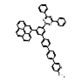 Cc1ccc(-c2ccc(-c3ccc(-c4cc(-c5nc(-c6ccccc6)nc(-c6ccccc6)n5)cc(-c5cc6cccc7ccc8cccc5c8c76)c4)cc3)cc2)cn1